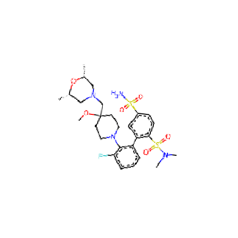 COC1(CN2C[C@@H](C)O[C@@H](C)C2)CCN(c2c(F)cccc2-c2cc(S(N)(=O)=O)ccc2S(=O)(=O)N(C)C)CC1